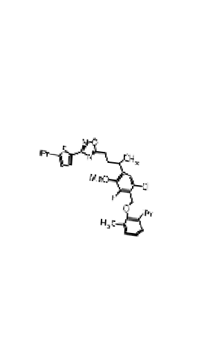 COc1c(C(C)CCc2nc(-c3ccc(C(C)C)s3)no2)cc(Cl)c(COc2c(C)cccc2C(C)C)c1F